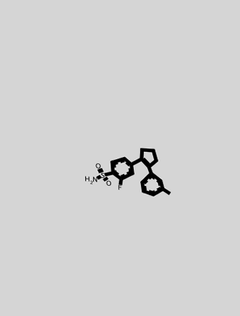 Cc1cccc(C2=C(c3ccc(S(N)(=O)=O)c(F)c3)CCC2)c1